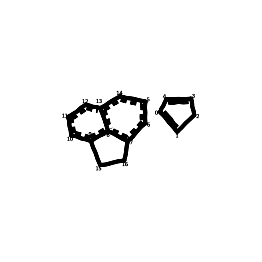 C1=CCC=C1.c1cc2c3c(cccc3c1)CC2